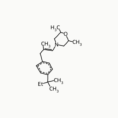 CCC(C)(C)c1ccc(CC(C)=CN2CC(C)OC(C)C2)cc1